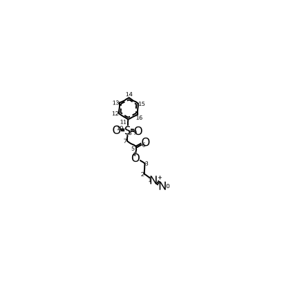 N#[N+]CCOC(=O)CS(=O)(=O)c1ccccc1